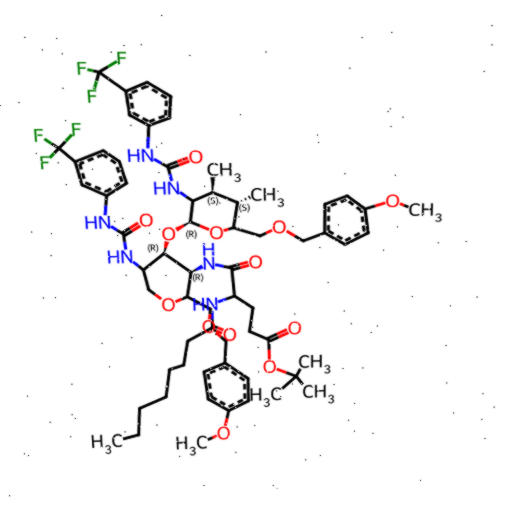 CCCCCCCC(=O)NC(CCC(=O)OC(C)(C)C)C(=O)N[C@H]1C(COCc2ccc(OC)cc2)OCC(NC(=O)Nc2cccc(C(F)(F)F)c2)[C@H]1O[C@@H]1OC(COCc2ccc(OC)cc2)[C@@H](C)[C@H](C)C1NC(=O)Nc1cccc(C(F)(F)F)c1